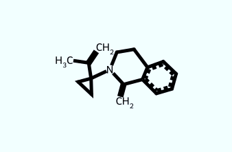 C=C1c2ccccc2CCN1C1(C(=C)C)CC1